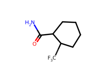 NC(=O)C1CCCCC1C(F)(F)F